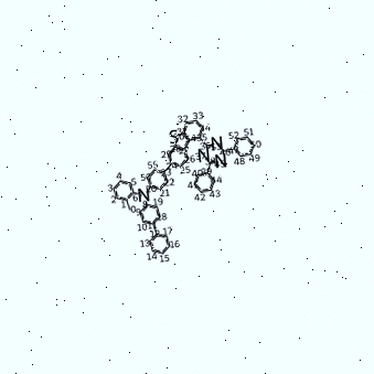 Cc1ccccc1N(c1ccc(-c2ccccc2)cc1)c1ccc(-c2ccc3c(c2)sc2cccc(-c4nc(-c5ccccc5)nc(-c5ccccc5)n4)c23)cc1